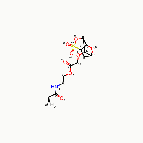 C=CC(=O)NCCOC(=O)COC1C2CC3C(O2)C1OS3(=O)=O